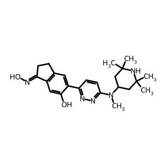 CN(c1ccc(-c2cc3c(cc2O)C(=NO)CC3)nn1)C1CC(C)(C)NC(C)(C)C1